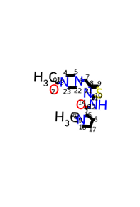 CC(=O)N1CCN(Cc2csc(NC(=O)[C@@H]3CCCN3C)n2)CC1